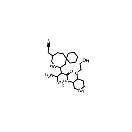 N#CCC1CCC2(CCCCC2)CC(C(C(=O)NC2CNCCC2OCCO)C(N)N)NC1